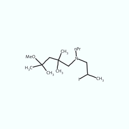 CCCN(CC(C)I)CC(C)(C)CC(C)(C)OC